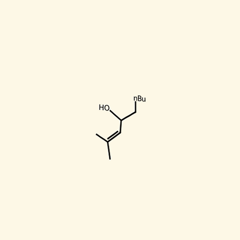 CCCCCC(O)C=C(C)C